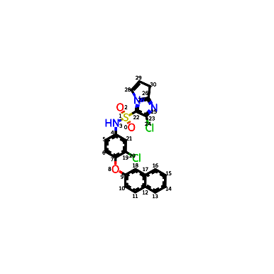 O=S(=O)(Nc1ccc(Oc2ccc3ccccc3c2)c(Cl)c1)c1c(Cl)nc2n1C=CC2